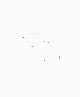 O=[N+]([O-])c1ccc2c(c1)C[C@H]1CSC(=S)N1C2